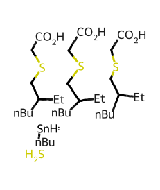 CCCCC(CC)CSCC(=O)O.CCCCC(CC)CSCC(=O)O.CCCCC(CC)CSCC(=O)O.CCC[CH2][SnH].S